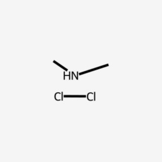 CNC.ClCl